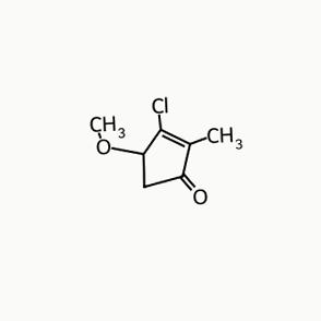 COC1CC(=O)C(C)=C1Cl